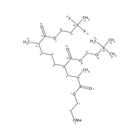 COCCOC(=O)C(C)CC(CCCC(C)C(=O)OCCC(C)(F)F)C(=O)OCO[Si](C)(C)C